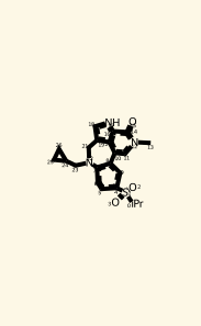 CC(C)S(=O)(=O)c1ccc2c(c1)-c1cn(C)c(=O)c3[nH]cc(c13)CN2CC1CC1